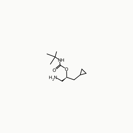 CC(C)(C)NC(=O)O[C@H](CN)CC1CC1